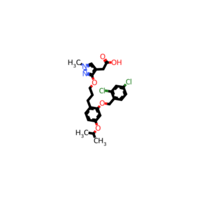 CC(C)Oc1ccc(CCCOc2nn(C)cc2CC(=O)O)c(OCc2ccc(Cl)cc2Cl)c1